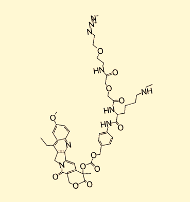 CCNCCCCC(NC(=O)COCC(=O)NCCOCCN=[N+]=[N-])C(=O)Nc1ccc(COC(=O)OC2(C)C(=O)OCc3c2cc2n(c3=O)Cc3c-2nc2ccc(OC)cc2c3CC)cc1